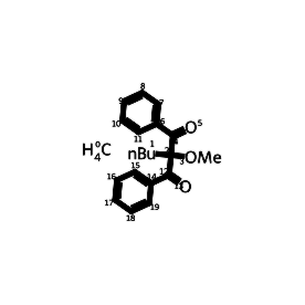 C.CCCCC(OC)(C(=O)c1ccccc1)C(=O)c1ccccc1